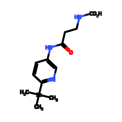 [CH3][Sn]([CH3])([CH3])[c]1ccc(NC(=O)CCNC(=O)O)cn1